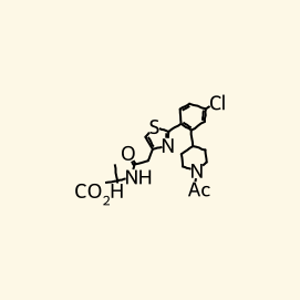 CC(=O)N1CCC(c2cc(Cl)ccc2-c2nc(CC(=O)NC(C)(C)C(=O)O)cs2)CC1